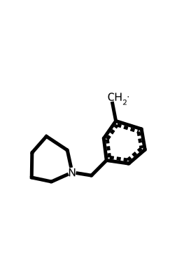 [CH2]c1cccc(CN2CCCCC2)c1